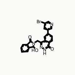 O=C1c2ccccc2C(O)N1Cc1n[nH]c(=O)c2ccc(-c3cncc(Br)c3)cc12